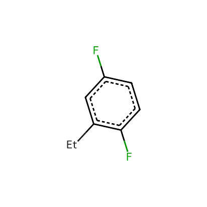 [CH2]Cc1cc(F)ccc1F